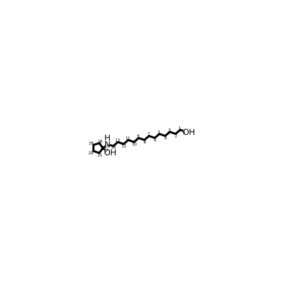 OCCCCCCCCCCCCCCNC1(O)CCCC1